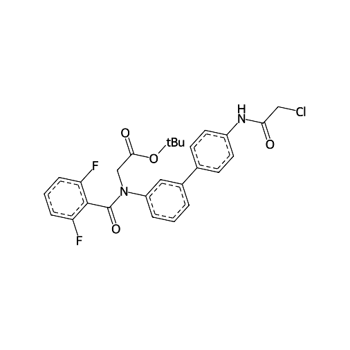 CC(C)(C)OC(=O)CN(C(=O)c1c(F)cccc1F)c1cccc(-c2ccc(NC(=O)CCl)cc2)c1